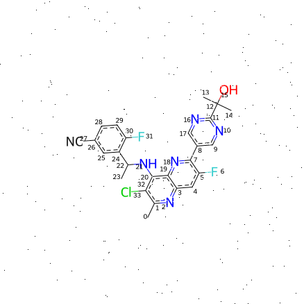 Cc1nc2cc(F)c(-c3cnc(C(C)(C)O)nc3)nc2c(NC(C)c2cc(C#N)ccc2F)c1Cl